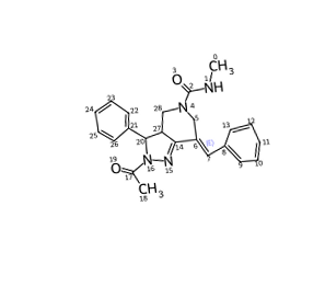 CNC(=O)N1C/C(=C\c2ccccc2)C2=NN(C(C)=O)C(c3ccccc3)C2C1